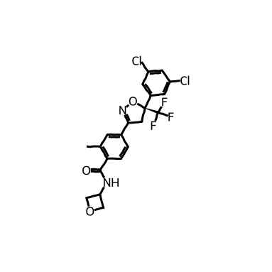 Cc1cc(C2=NO[C@@](c3cc(Cl)cc(Cl)c3)(C(F)(F)F)C2)ccc1C(=O)NC1COC1